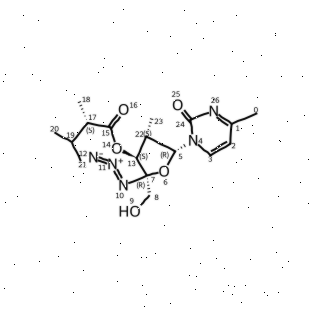 Cc1ccn([C@@H]2O[C@@](CO)(N=[N+]=[N-])[C@@H](OC(=O)[C@@H](C)C(C)C)[C@@H]2C)c(=O)n1